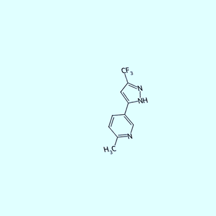 Cc1ccc(-c2cc(C(F)(F)F)n[nH]2)cn1